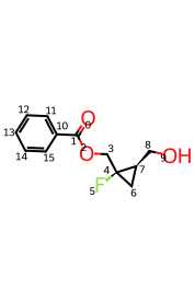 O=C(OC[C@@]1(F)C[C@@H]1CO)c1ccccc1